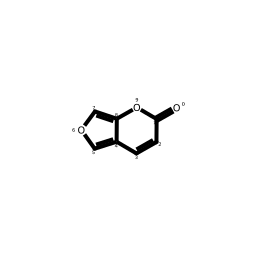 O=c1ccc2cocc2o1